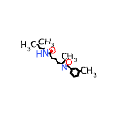 Cc1cccc(-c2nc(CCCC(=O)NCCC(C)C)c(C)o2)c1